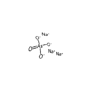 O=[As]([O-])([O-])[O-].[Na+].[Na+].[Na+]